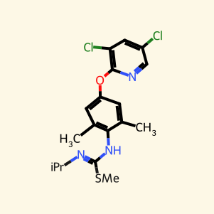 CSC(=NC(C)C)Nc1c(C)cc(Oc2ncc(Cl)cc2Cl)cc1C